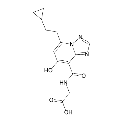 O=C(O)CNC(=O)c1c(O)cc(CCC2CC2)n2ncnc12